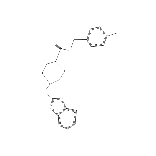 Cc1ccc(CNC(=O)C2CCC(Nc3nc4ccccc4[nH]3)CC2)cc1